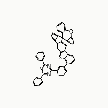 c1ccc(-c2nc(-c3ccccc3)nc(-c3cccc(-c4cccc5c4sc4cc6c(cc45)C4(c5ccccc5Oc5ccccc54)c4ccccc4-6)c3)n2)cc1